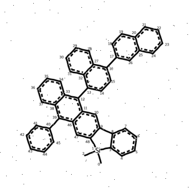 C[Si]1(C)c2ccccc2-c2cc3c(-c4ccc(-c5ccc6ccccc6c5)c5ccccc45)c4ccccc4c(-c4ccccc4)c3cc21